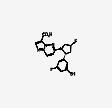 O=C(O)c1cnc2ccc(N3C[C@@H](F)C[C@@H]3c3cc(F)cc(S)c3)nn12